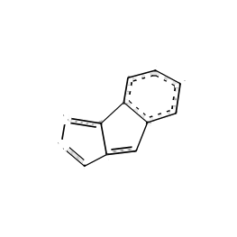 C1=NN=C2C1=Cc1ccccc12